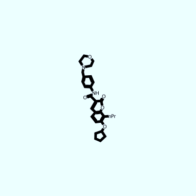 CCCc1c(OC2CCCC2)ccc2cc(C(=O)Nc3ccc(CN4CCOCC4)cc3)c(=O)oc12